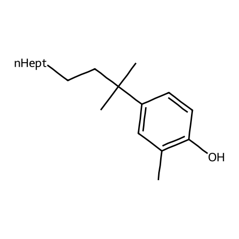 CCCCCCCCCC(C)(C)c1ccc(O)c(C)c1